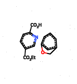 CCOC(=O)c1ccc(C(=O)O)nc1.c1cc2cc(c1)OC2